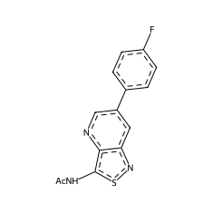 CC(=O)Nc1snc2cc(-c3ccc(F)cc3)cnc12